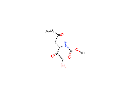 BCC(=O)[C@H](CC(=O)OC)NC(=O)OC(C)(C)C